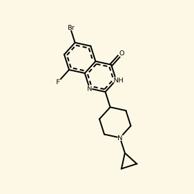 O=c1[nH]c(C2CCN(C3CC3)CC2)nc2c(F)cc(Br)cc12